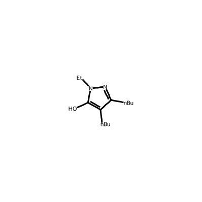 CCCCc1nn(CC)c(O)c1CCCC